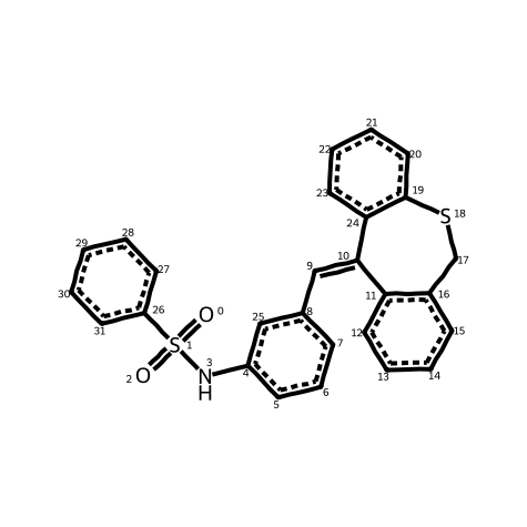 O=S(=O)(Nc1cccc(/C=C2\c3ccccc3CSc3ccccc32)c1)c1ccccc1